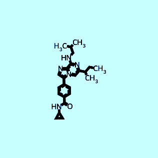 CCC(C)c1cn2c(-c3ccc(C(=O)NC4CC4)cc3)cnc2c(NCC(C)C)n1